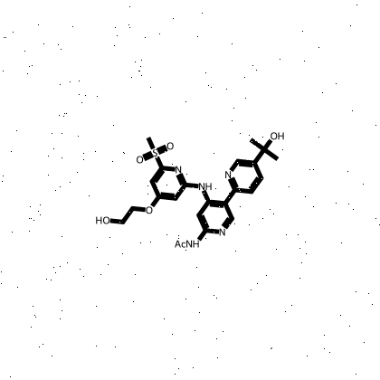 CC(=O)Nc1cc(Nc2cc(OCCO)cc(S(C)(=O)=O)n2)c(-c2ccc(C(C)(C)O)cn2)cn1